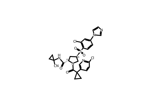 N#CC1(NC(=O)[C@@H]2C[C@@H](S(=O)(=O)c3ccc(-n4ccnc4)cc3Cl)CN2C(=O)C2(c3ccc(Cl)nc3)CC2)CC1